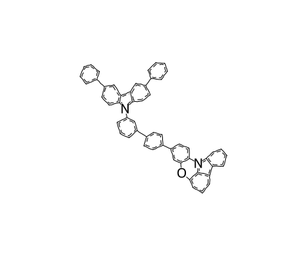 c1ccc(-c2ccc3c(c2)c2cc(-c4ccccc4)ccc2n3-c2cccc(-c3ccc(-c4ccc5c(c4)Oc4cccc6c7ccccc7n-5c46)cc3)c2)cc1